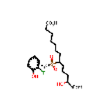 CCCCCC(O)CCCC(CCCCCCC(=O)O)S(C)(=O)=O.Oc1ccccc1F